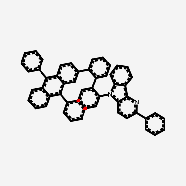 c1ccc(-c2ccc3c(n2)c2ccccc2n3-c2ccccc2-c2ccccc2-c2ccc3c(-c4ccccc4)c4ccccc4c(-c4ccccc4)c3c2)cc1